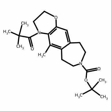 Cc1c2c(cc3c1N(C(=O)C(C)(C)C)CCO3)CCN(C(=O)OC(C)(C)C)CC2